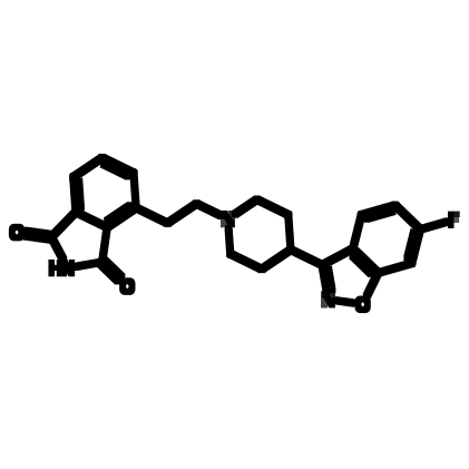 O=C1NC(=O)c2c(CCN3CCC(c4noc5cc(F)ccc45)CC3)cccc21